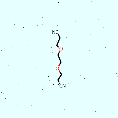 N#CCCOCCOCCC#N